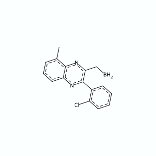 BCc1nc2c(C)cccc2nc1-c1ccccc1Cl